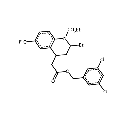 CCOC(=O)N1c2ccc(C(F)(F)F)cc2C(CC(=O)OCc2cc(Cl)cc(Cl)c2)CC1CC